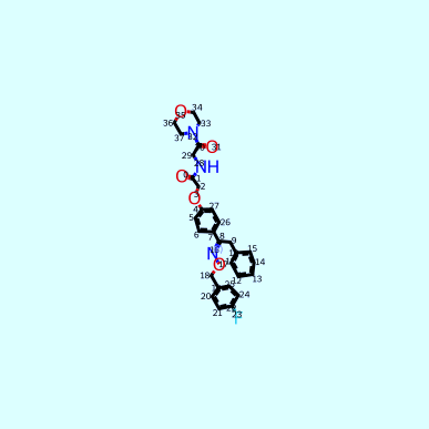 O=C(COc1ccc(/C(Cc2ccccc2)=N/OCc2ccc(F)cc2)cc1)NCC(=O)N1CCOCC1